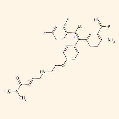 CC/C(=C(/c1ccc(OCCNC/C=C/C(=O)N(C)C)cc1)c1ccc(N)c(C(=N)F)c1)c1ccc(F)cc1F